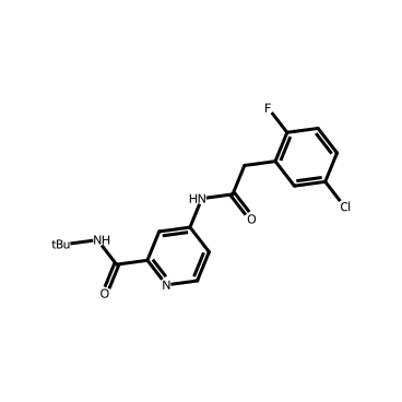 CC(C)(C)NC(=O)c1cc(NC(=O)Cc2cc(Cl)ccc2F)ccn1